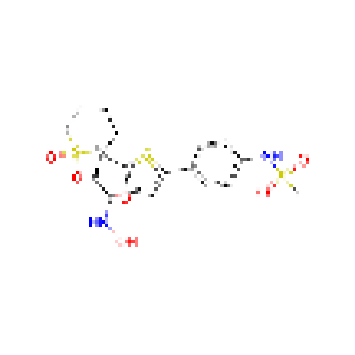 CS(=O)(=O)Nc1ccc(-c2ccc([C@@]3(CC(=O)NO)CCCCS3(=O)=O)s2)cc1